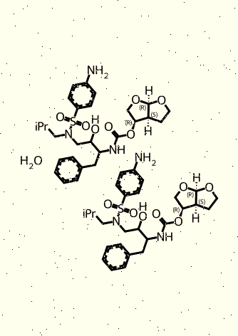 CC(C)CN(CC(O)C(Cc1ccccc1)NC(=O)O[C@H]1CO[C@H]2OCC[C@H]21)S(=O)(=O)c1ccc(N)cc1.CC(C)CN(CC(O)C(Cc1ccccc1)NC(=O)O[C@H]1CO[C@H]2OCC[C@H]21)S(=O)(=O)c1ccc(N)cc1.O